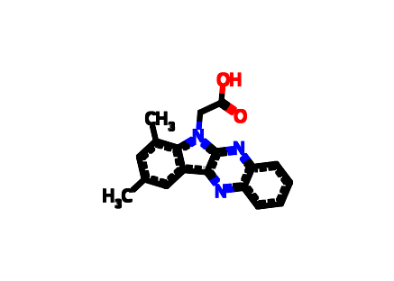 Cc1cc(C)c2c(c1)c1nc3ccccc3nc1n2CC(=O)O